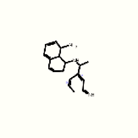 C/C=C\C(=C/C=N)C(C)NC1CC=CC2=CC=CC(N)C21